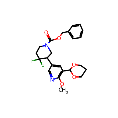 COc1ncc(C2CN(C(=O)OCc3ccccc3)CCC2(F)F)cc1C1OCCCO1